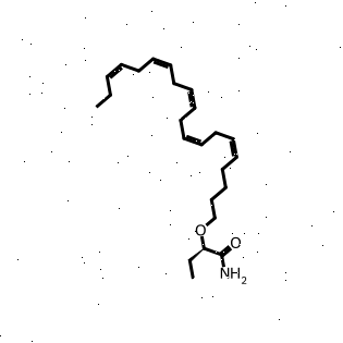 CC/C=C\C/C=C\C/C=C\C/C=C\C/C=C\CCCCO[C@H](CC)C(N)=O